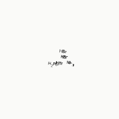 Br.Br.Br.N.[PbH2]